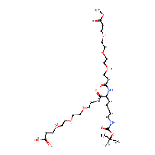 COC(=O)CCOCCOCCOCCC(=O)NC(CCCCNC(=O)OC(C)(C)C)C(=O)NCCOCCOCCOCCC(=O)O